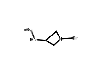 CCCCNC1CN(C(C)C)C1